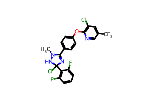 CN1NC(Cl)(c2c(F)cccc2F)N=C1c1ccc(Oc2ncc(C(F)(F)F)cc2Cl)cc1